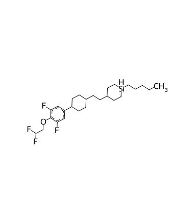 CCCCC[SiH]1CCC(CCC2CCC(c3cc(F)c(OCC(F)F)c(F)c3)CC2)CC1